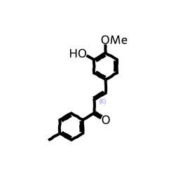 COc1ccc(/C=C/C(=O)c2ccc(C)cc2)cc1O